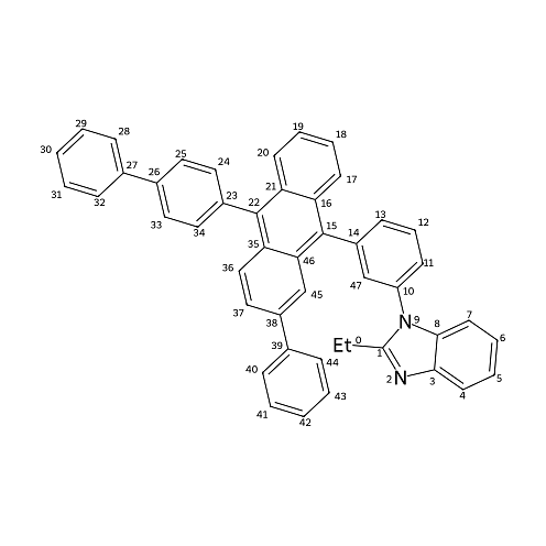 CCc1nc2ccccc2n1-c1cccc(-c2c3ccccc3c(-c3ccc(-c4ccccc4)cc3)c3ccc(-c4ccccc4)cc23)c1